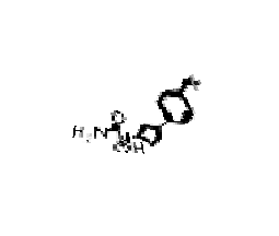 NC(=O)N(O)[C@H]1CC[C@H](c2ccc(CF)cc2)C1